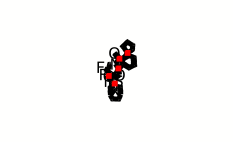 O=C(CC1CCCC1)N1Cc2sc(N3C4CCC3CN(C(=O)OCc3ccccc3)C4)nc2C(F)(F)C1